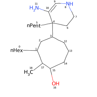 CCCCCCC1CC(C2(CCCCC)CCNC=C2N)CCCC(O)C1C